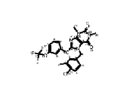 Cc1cc(Cn2c(Oc3cccc(OC(F)(F)F)c3)nc3c2c(=O)n(C)c(=O)n3C)ccc1Cl